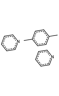 Cc1ccc(C)cc1.c1ccncc1.c1ccncc1